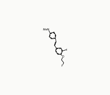 CNc1ccc(/C=C/c2ccc(OCCF)c(I)c2)cc1